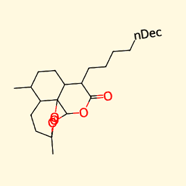 CCCCCCCCCCCCCCC1C(=O)OC2OC3(C)CCC4C(C)CCC1C24OO3